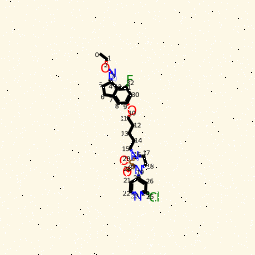 CCO/N=C1\CCc2cc(OCCCCCN3CCN(c4ccnc(Cl)c4)S3(=O)=O)cc(F)c21